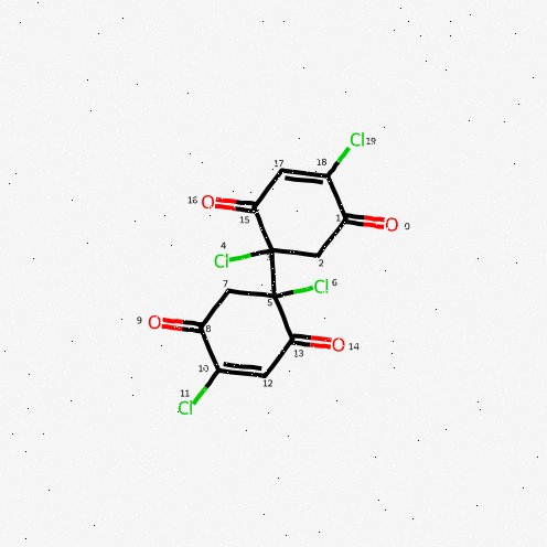 O=C1CC(Cl)(C2(Cl)CC(=O)C(Cl)=CC2=O)C(=O)C=C1Cl